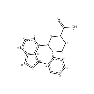 O=C(O)C1CCCN(c2ncnc3scc(-c4ccccc4)c23)C1